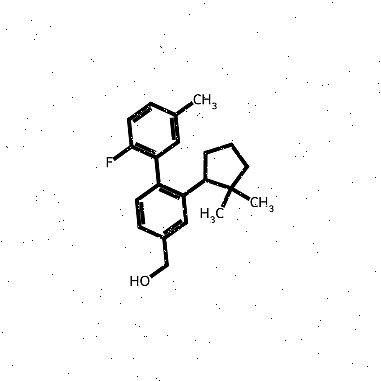 Cc1ccc(F)c(-c2ccc(CO)cc2C2CCCC2(C)C)c1